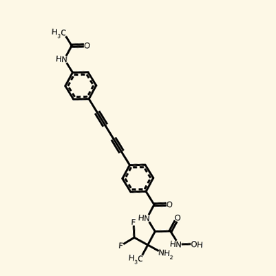 CC(=O)Nc1ccc(C#CC#Cc2ccc(C(=O)NC(C(=O)NO)C(C)(N)C(F)F)cc2)cc1